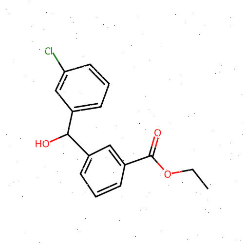 CCOC(=O)c1cccc(C(O)c2cccc(Cl)c2)c1